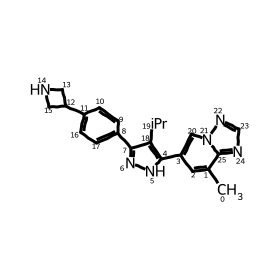 Cc1cc(-c2[nH]nc(-c3ccc(C4CNC4)cc3)c2C(C)C)cn2ncnc12